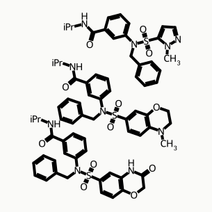 CC(C)NC(=O)c1cccc(N(Cc2ccccc2)S(=O)(=O)c2ccc3c(c2)NC(=O)CO3)c1.CC(C)NC(=O)c1cccc(N(Cc2ccccc2)S(=O)(=O)c2ccc3c(c2)OCCN3C)c1.CC(C)NC(=O)c1cccc(N(Cc2ccccc2)S(=O)(=O)c2ccnn2C)c1